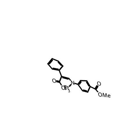 CCN(/C=C(\C(=O)C(F)(F)F)c1ccccc1)c1ccc(C(=O)OC)cc1